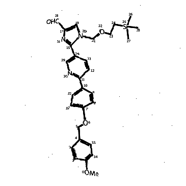 COc1ccc(COc2ccc(-c3ccc(-c4nc(C=O)cn4COCC[Si](C)(C)C)cn3)cc2)cc1